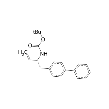 C=C[C@@H](Cc1ccc(-c2ccccc2)cc1)NC(=O)OC(C)(C)C